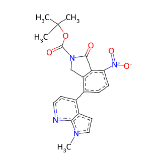 Cn1ccc2c(-c3ccc([N+](=O)[O-])c4c3CN(C(=O)OC(C)(C)C)C4=O)ccnc21